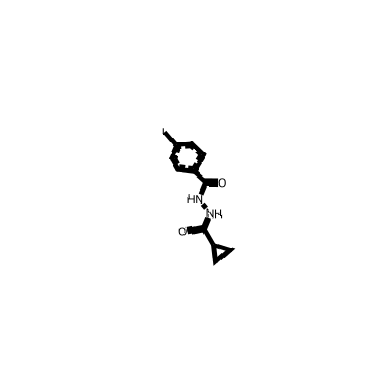 O=C(NNC(=O)C1CC1)c1ccc(I)cc1